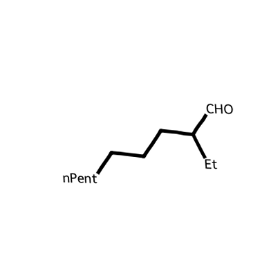 CCCCCCCCC(C=O)CC